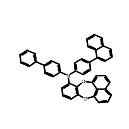 c1ccc(-c2ccc(N(c3ccc(-c4cccc5ccccc45)cc3)c3cccc4c3Oc3cccc5cccc(c35)O4)cc2)cc1